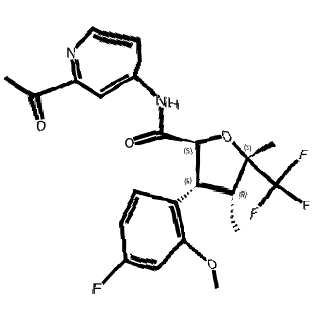 COc1cc(F)ccc1[C@@H]1[C@@H](C(=O)Nc2ccnc(C(C)=O)c2)O[C@](C)(C(F)(F)F)[C@@H]1C